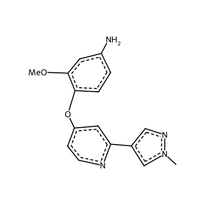 COc1cc(N)ccc1Oc1ccnc(-c2cnn(C)c2)c1